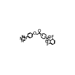 O=C(COc1ccc(-n2cnnn2)cc1)N1CCN(S(=O)(=O)C2C(F)=CC=CC2F)CC1